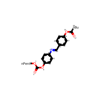 CCCCCOC(=O)Oc1ccc(N=Cc2ccc(OC(=O)CCCC)cc2)cc1